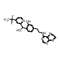 CC(F)(F)c1ccnc(C(O)c2ccc(CCNc3ncnc4nccnc34)cc2O)c1